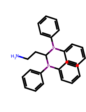 NCCC(P(c1ccccc1)c1ccccc1)P(c1ccccc1)c1ccccc1